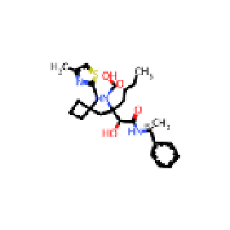 CCCCC(CC1(Cc2nc(C)cs2)CCC1)(NC(=O)O)C(O)C(=O)N[C@H](C)c1ccccc1